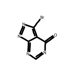 O=C1N=CN=C2N=NC(Br)=C12